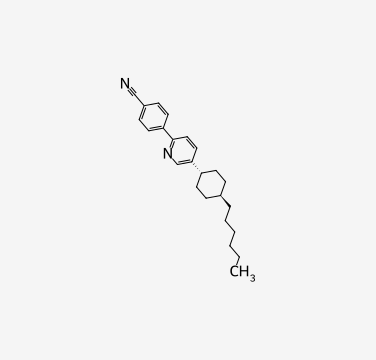 CCCCCC[C@H]1CC[C@H](c2ccc(-c3ccc(C#N)cc3)nc2)CC1